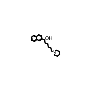 OC(CCCCCN1CCCCC1)c1ccc2ccccc2c1